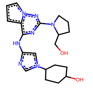 OCC1CCCN1c1nc(Nc2cn(C3CCC(O)CC3)cn2)c2cccn2n1